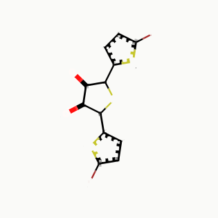 O=C1C(=O)C(c2ccc(Br)s2)SC1c1ccc(Br)s1